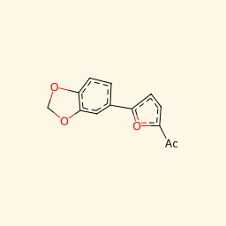 CC(=O)c1ccc(-c2ccc3c(c2)OCO3)o1